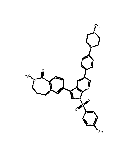 Cc1ccc(S(=O)(=O)n2cc(-c3ccc4c(c3)CCCN(C)C4=O)c3cc(-c4ccc(N5CCN(C)CC5)cc4)cnc32)cc1